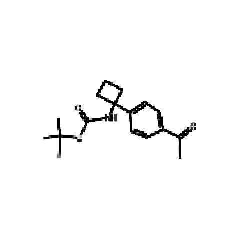 CC(=O)c1ccc(C2(NC(=O)OC(C)(C)C)CCC2)cc1